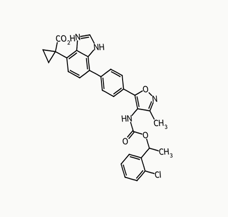 Cc1noc(-c2ccc(-c3ccc(C4(C(=O)O)CC4)c4nc[nH]c34)cc2)c1NC(=O)OC(C)c1ccccc1Cl